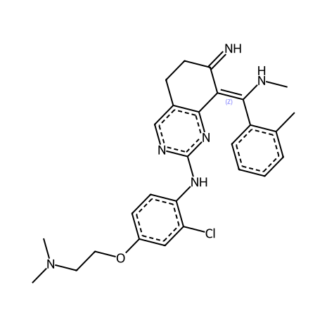 CN/C(=C1\C(=N)CCc2cnc(Nc3ccc(OCCN(C)C)cc3Cl)nc21)c1ccccc1C